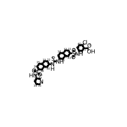 O=C(O)c1cc(NS(=O)(=O)c2ccc3ccc(NC(=S)Nc4ccc5ccc(S(=O)(=O)Nc6cccnc6)cc5c4)cc3c2)ccc1Cl